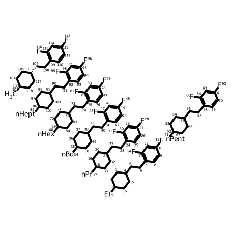 CCC1CCC(CCc2ccc(F)cc2F)CC1.CCCC1CCC(CCc2ccc(F)cc2F)CC1.CCCCC1CCC(CCc2ccc(F)cc2F)CC1.CCCCCC1CCC(CCc2ccc(F)cc2F)CC1.CCCCCCC1CCC(CCc2ccc(F)cc2F)CC1.CCCCCCCC1CCC(CCc2ccc(F)cc2F)CC1.C[C@H]1CC[C@H](CCc2ccc(F)cc2F)CC1